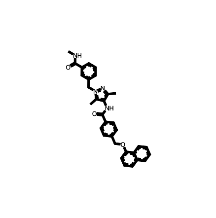 CNC(=O)c1cccc(Cn2nc(C)c(NC(=O)c3ccc(COc4cccc5ccccc45)cc3)c2C)c1